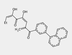 C=C(/C=C(/O)C(=O)/C(O)=C\CC)C(=O)c1cccc(-c2cccc3ccccc23)c1